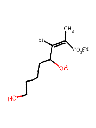 CCOC(=O)C(C)=C(CC)C(O)CCCCO